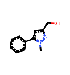 Cn1nc(CO)cc1-c1ccccc1